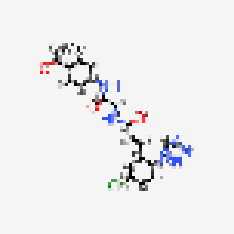 COC(=O)c1ccc(NC(=O)CNC(=O)/C=C/c2cc(Cl)ccc2-n2cnnn2)cc1